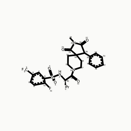 CC(C)[C@@H](NS(=O)(=O)c1cc(C(F)(F)F)ccc1F)C(=O)N1CCC2(CC1)C(=O)N(C)C(=O)C2c1ccccc1